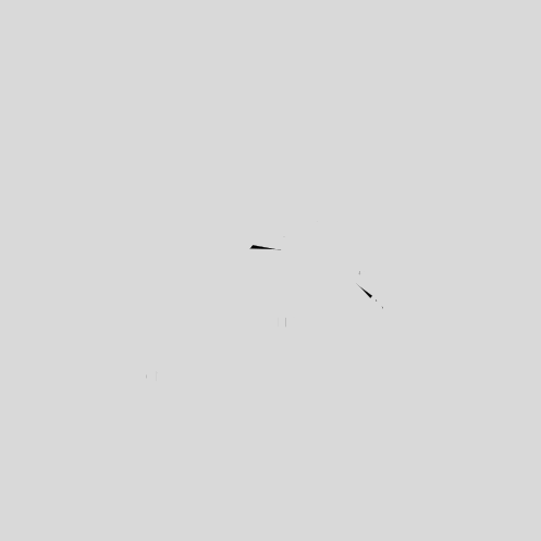 CN[C@@H]1c2ccccc2[C@H](Cc2ccc(Cl)cc2)C1O